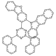 c1ccc2cc3c(cc2c1)c1ccccc1n3-c1cc2oc3ccccc3c2cc1-c1nc(-c2cccc3ccccc23)nc(-c2cccc3ccccc23)n1